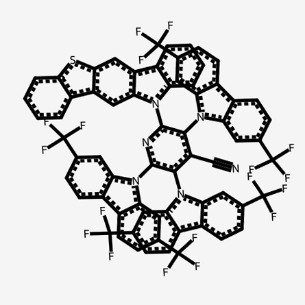 N#Cc1c(-n2c3cc(C(F)(F)F)ccc3c3ccc(C(F)(F)F)cc32)c(-n2c3cc(C(F)(F)F)ccc3c3ccc(C(F)(F)F)cc32)nc(-n2c3ccccc3c3cc4sc5ccccc5c4cc32)c1-n1c2cc(C(F)(F)F)ccc2c2ccc(C(F)(F)F)cc21